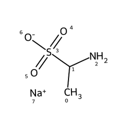 CC(N)S(=O)(=O)[O-].[Na+]